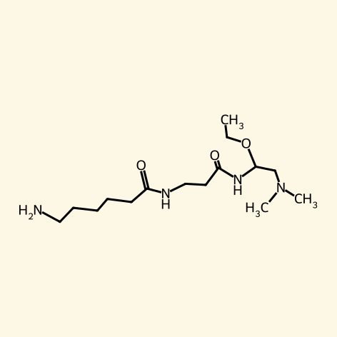 CCOC(CN(C)C)NC(=O)CCNC(=O)CCCCCN